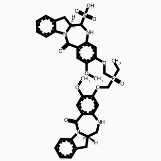 CCP(=O)(COc1cc2c(cc1OC)C(=O)N1c3ccccc3C[C@H]1CN2)COc1cc2c(cc1OC)C(=O)N1c3ccccc3C[C@H]1C(S(=O)(=O)O)N2